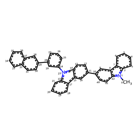 Cn1c2ccccc2c2cc(-c3ccc4c(c3)c3ccccc3n4-c3cccc(-c4ccc5ccccc5c4)c3)ccc21